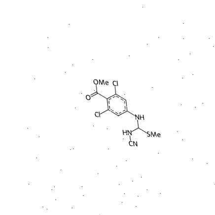 COC(=O)c1c(Cl)cc(NC(NC#N)SC)cc1Cl